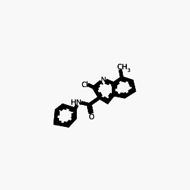 Cc1cccc2cc(C(=O)Nc3ccccc3)c(Cl)nc12